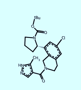 Cc1[nH]ncc1C(=O)N1CCc2cc(Cl)cc([C@@H]3CCCN3C(=O)OC(C)(C)C)c2C1